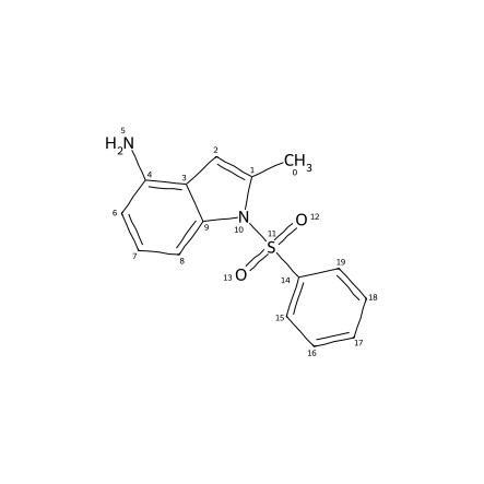 Cc1cc2c(N)cccc2n1S(=O)(=O)c1ccccc1